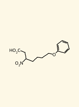 O=C(O)CC(CCCCOc1ccccc1)[N+](=O)[O-]